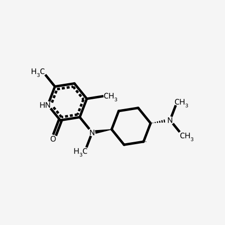 Cc1cc(C)c(N(C)[C@@H]2C[CH][C@@H](N(C)C)CC2)c(=O)[nH]1